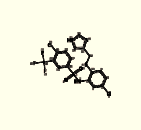 O=S(=O)(Nc1cc(Cl)ccc1SCc1c[nH]cn1)c1ccc(Cl)c(C(F)(F)F)c1